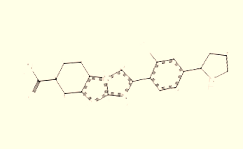 NC(=O)C1CCc2c(sc3nc(-c4ccc(C5CCCN5)cc4F)cn23)C1